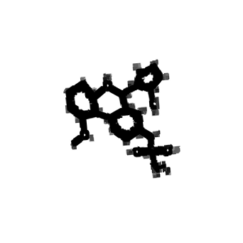 COc1cccc2c1-c1ccc(CS(N)(=O)=O)cc1C(c1sccc1Cl)O2